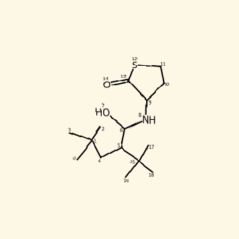 CC(C)(C)CC(C(O)NC1CCSC1=O)C(C)(C)C